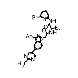 CCC(NC(=O)Cn1nc(C(C)=O)c2cc(-c3cnc(C)nc3)ccc21)C(=O)Nc1cccc(Br)n1